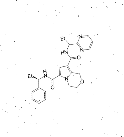 CC[C@@H](NC(=O)c1cc(C(=O)N[C@H](CC)c2ncccn2)c2n1CCOC2)c1ccccc1